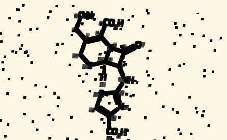 CC(=O)OCC1=C(C(=O)O)N2C(=O)C(Nc3nc(C(=O)O)cs3)[C@H]2SC1